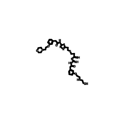 N=C(CCSCCc1nnc(NC(=O)Cc2cccc(OCCN3CCOCC3)c2)s1)SC(=N)NC(=O)Cc1cccc(OCCNCCO)c1